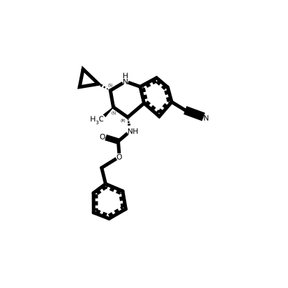 C[C@@H]1[C@@H](NC(=O)OCc2ccccc2)c2cc(C#N)ccc2N[C@H]1C1CC1